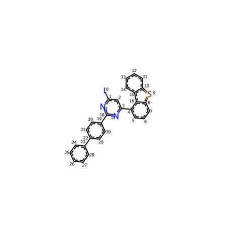 Ic1cc(-c2cccc3sc4ccccc4c23)nc(-c2ccc(-c3ccccc3)cc2)n1